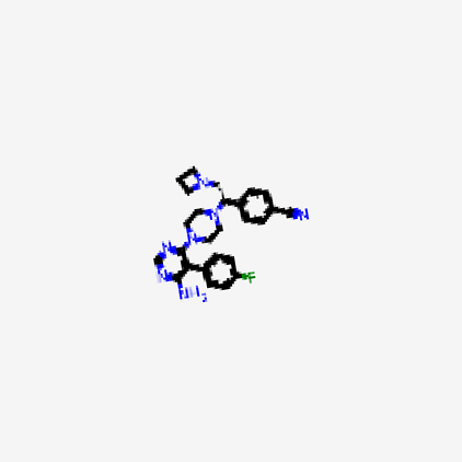 N#Cc1ccc([C@@H](CN2CCC2)N2CCN(c3ncnc(N)c3-c3ccc(F)cc3)CC2)cc1